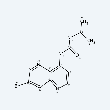 CC(C)NC(=O)Nc1ccnc2cc(Br)cnc12